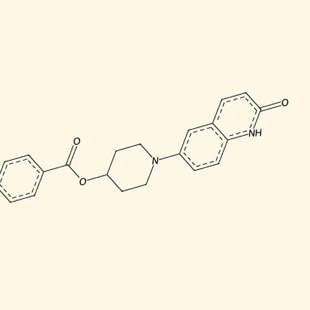 O=C(OC1CCN(c2ccc3[nH]c(=O)ccc3c2)CC1)c1ccccc1